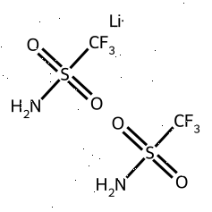 NS(=O)(=O)C(F)(F)F.NS(=O)(=O)C(F)(F)F.[Li]